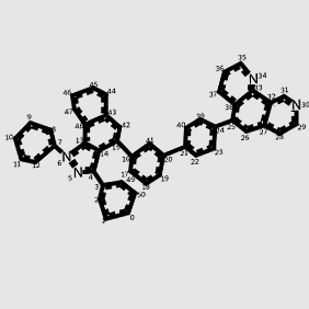 c1ccc(-c2nn(-c3ccccc3)c3c2c(-c2cccc(-c4ccc(-c5cc6ccncc6c6ncccc56)cc4)c2)cc2ccccc23)cc1